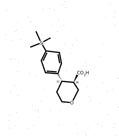 C[Si](C)(C)c1ccc([C@H]2CCOC[C@@H]2C(=O)O)cc1